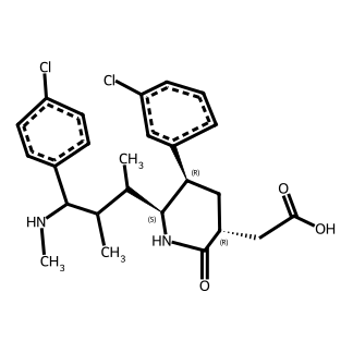 CNC(c1ccc(Cl)cc1)C(C)C(C)[C@@H]1NC(=O)[C@@H](CC(=O)O)C[C@@H]1c1cccc(Cl)c1